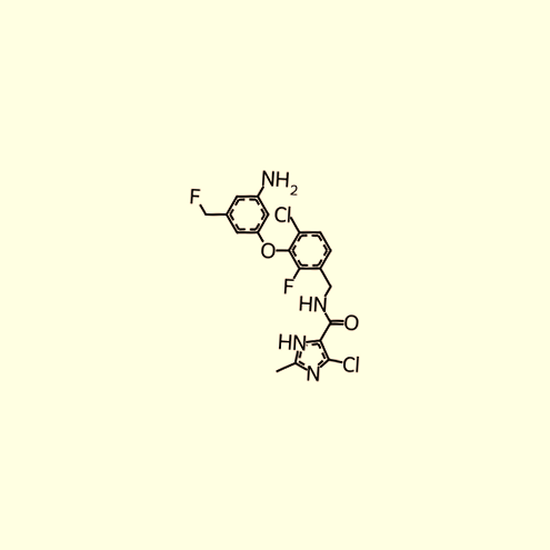 Cc1nc(Cl)c(C(=O)NCc2ccc(Cl)c(Oc3cc(N)cc(CF)c3)c2F)[nH]1